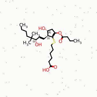 CCCCC(C)(C)[C@@H](O)C=C[C@@H]1C(SCCCCCC(=O)O)=C(OC(=O)CCC)C[C@H]1O